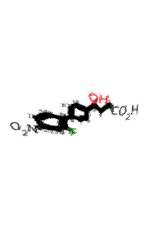 O=C(O)CCC(O)c1ccc(-c2ccc([N+](=O)[O-])cc2F)cc1